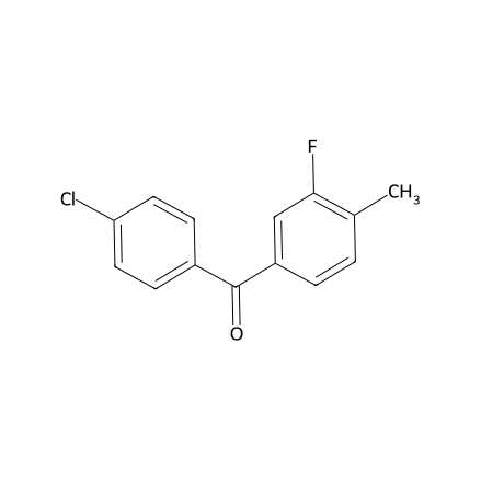 Cc1ccc(C(=O)c2ccc(Cl)cc2)cc1F